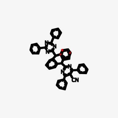 N#Cc1c(-c2ccccc2)nc(C23c4ccccc4C(c4nc(-c5ccccc5)nc(-c5ccccc5)n4)(c4ccccc42)c2ccccc23)nc1-c1ccccc1